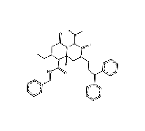 CCN1CC(=O)N2[C@@H](C(C)C)C(=O)N(CCC(c3ccccc3)c3ccccc3)C[C@@H]2N1C(=O)NCc1ccccc1